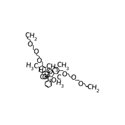 C=CCOCCOCCOCc1c(C)cc(C)c(C(=O)P(=O)(C(=O)c2c(C)cc(C)c(COCCOCCOCC=C)c2C)c2ccccc2)c1C